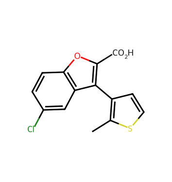 Cc1sccc1-c1c(C(=O)O)oc2ccc(Cl)cc12